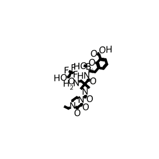 CCN1CCN(C(=O)N2CC(CN)(C(=O)N[C@H]3Cc4cccc(C(=O)O)c4OB3O)C2)C(=O)C1=O.O=C(O)C(F)(F)F